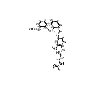 COc1nc(OCc2cccc(-c3cccc(CO)c3C)c2C)ccc1CNCCNC(C)=O